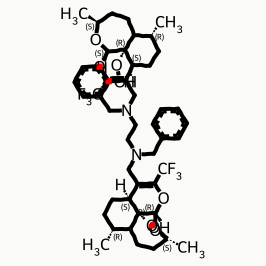 C[C@@H]1CC[C@H]2C(CN(CCN(CC3=C(C(F)(F)F)O[C@@H]4O[C@]5(C)CCC6[C@H](C)CC[C@@H]3[C@]64OO5)Cc3ccccc3)Cc3ccccc3)=C(C(F)(F)F)O[C@@H]3O[C@@H](C)CCC1[C@]32OO